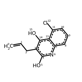 C=CCc1c(O)nc2cccc(Cl)c2c1O